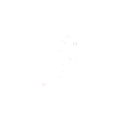 CC(=O)O/N=C(\C)C(=O)c1ccccc1Sc1ccc(OCCO)cc1